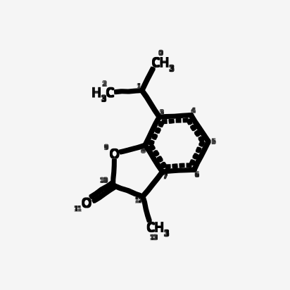 CC(C)c1cccc2c1OC(=O)C2C